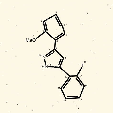 COc1ccccc1-c1cc(-c2ccccc2F)[nH]n1